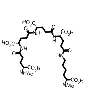 CN[C@@H](CCCCNC(=O)CC[C@H](NC(=O)CC[C@H](NC(=O)CC[C@H](NC(=O)CC[C@H](NC(C)=O)C(=O)O)C(=O)O)C(=O)O)C(=O)O)C(=O)O